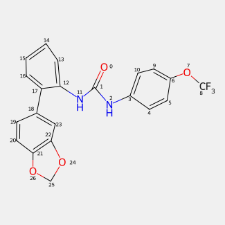 O=C(Nc1ccc(OC(F)(F)F)cc1)Nc1ccccc1-c1ccc2c(c1)OCO2